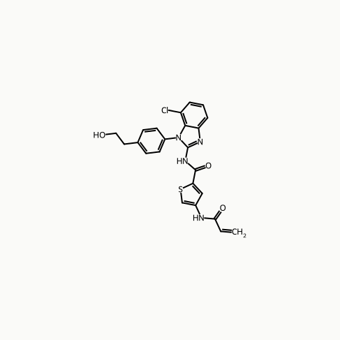 C=CC(=O)Nc1csc(C(=O)Nc2nc3cccc(Cl)c3n2-c2ccc(CCO)cc2)c1